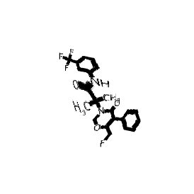 CC(C)(C(=O)Nc1cccc(C(F)(F)F)c1)N1COC(CF)=C(c2ccccc2)C1=O